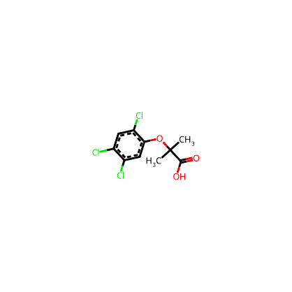 CC(C)(Oc1cc(Cl)c(Cl)cc1Cl)C(=O)O